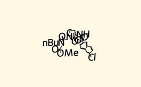 CCCCN(CC(=O)OC)C(=O)CN1CCC[C@H](NS(=O)(=O)c2ccc3cc(Cl)ccc3c2)C1=O